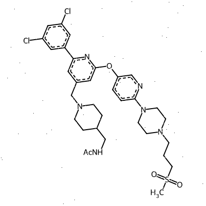 CC(=O)NCC1CCN(Cc2cc(Oc3ccc(N4CCN(CCCS(C)(=O)=O)CC4)nc3)nc(-c3cc(Cl)cc(Cl)c3)c2)CC1